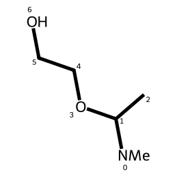 CNC(C)OCCO